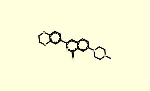 CN1CCN(c2ccc3cc(-c4ccc5c(c4)OCCO5)oc(=O)c3c2)CC1